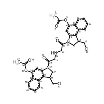 CC(=O)Oc1cc2c(c3ccccc13)C(CCl)CN2C(=O)CNCC(=O)N1CC(CCl)c2c1cc(OC(C)=O)c1ccccc21